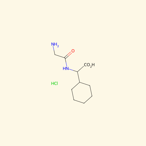 Cl.NCC(=O)NC(C(=O)O)C1CCCCC1